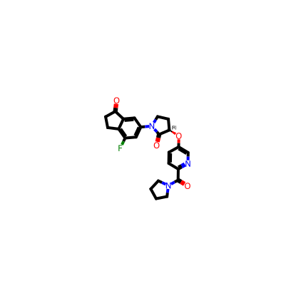 O=C1CCc2c(F)cc(N3CC[C@@H](Oc4ccc(C(=O)N5CCCC5)nc4)C3=O)cc21